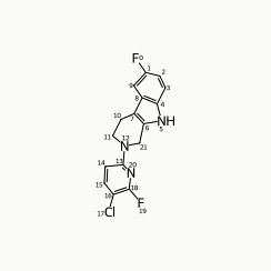 Fc1ccc2[nH]c3c(c2c1)CCN(c1ccc(Cl)c(F)n1)C3